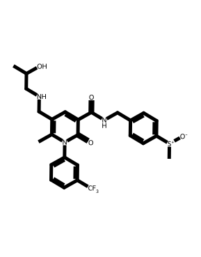 Cc1c(CNCC(C)O)cc(C(=O)NCc2ccc([S+](C)[O-])cc2)c(=O)n1-c1cccc(C(F)(F)F)c1